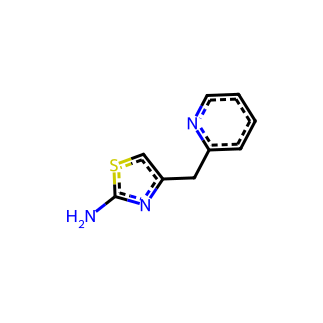 Nc1nc(Cc2ccccn2)cs1